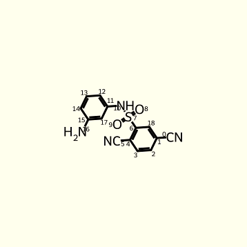 N#Cc1ccc(C#N)c(S(=O)(=O)Nc2cccc(N)c2)c1